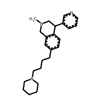 CN1Cc2cc(CCCCN3CCCCC3)ccc2C(c2cccnc2)C1